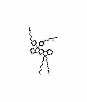 CCCCCCCCC1(CCCCCCCC)c2ccccc2-c2cc3c(cc21)-c1ccccc1C3(c1ccc(CCCOCC)cc1)c1ccc(CCCOCC)cc1